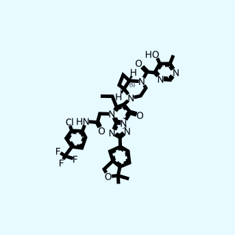 CCc1c(N2CCN(C(=O)c3ncnc(C)c3O)[C@H]3CC[C@H]32)c(=O)n2nc(-c3ccc4c(c3)COC4(C)C)nc2n1CC(=O)Nc1ccc(C(F)(F)F)cc1Cl